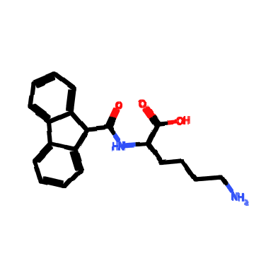 NCCCCC(NC(=O)C1c2ccccc2-c2ccccc21)C(=O)O